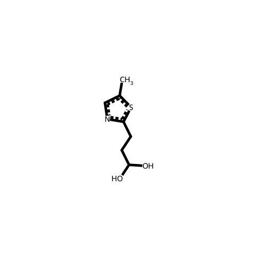 Cc1cnc(CCC(O)O)s1